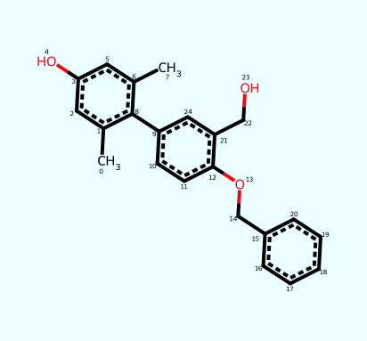 Cc1cc(O)cc(C)c1-c1ccc(OCc2ccccc2)c(CO)c1